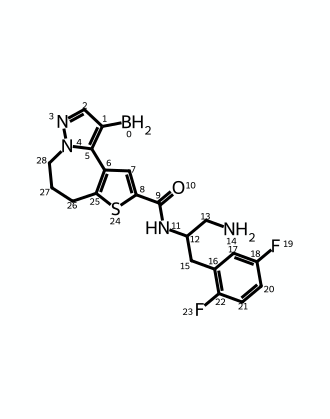 Bc1cnn2c1-c1cc(C(=O)NC(CN)Cc3cc(F)ccc3F)sc1CCC2